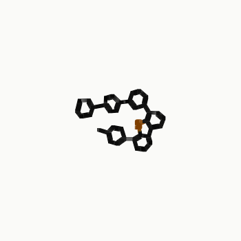 Cc1ccc(-c2cccc3c2sc2c(-c4cccc(-c5ccc(-c6ccccc6)cc5)c4)cccc23)cc1